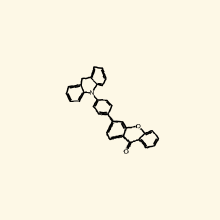 O=c1c2ccccc2oc2cc(-c3ccc(N4c5ccccc5Cc5ccccc54)cc3)ccc12